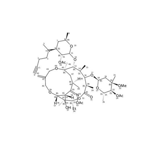 C#CCCN(C)[C@H]1C[C@@H](C)OC(O[C@@H]2[C@@H](C)C(O[C@H]3C[C@@](C)(OC)[C@@H](OC(C)=O)[C@H](C)O3)[C@@H](C)C(=O)O[C@H](CC)[C@@](C)(O)[C@@H]3OCC(=C)CO[C@]2(C)C[C@@H](C)C(=NOC(C)=O)[C@@H]3C)[C@@H]1OC(C)=O